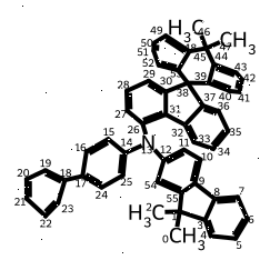 CC1(C)c2ccccc2-c2ccc(N(c3ccc(-c4ccccc4)cc3)c3cccc4c3-c3ccccc3C43c4ccccc4C(C)(C)c4ccccc43)cc21